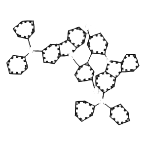 FC(F)(F)c1ccc(-n2c3ccccc3c3cc(N(c4ccccc4)c4ccccc4)ccc32)c(-c2cc(C(F)(F)F)ccc2-n2c3ccccc3c3cc(N(c4ccccc4)c4ccccc4)ccc32)c1